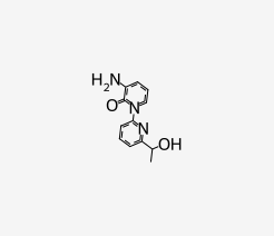 CC(O)c1cccc(-n2cccc(N)c2=O)n1